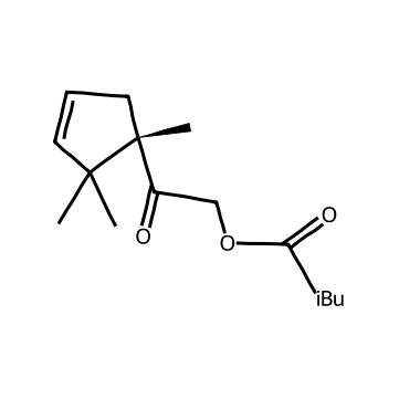 CCC(C)C(=O)OCC(=O)[C@@]1(C)CC=CC1(C)C